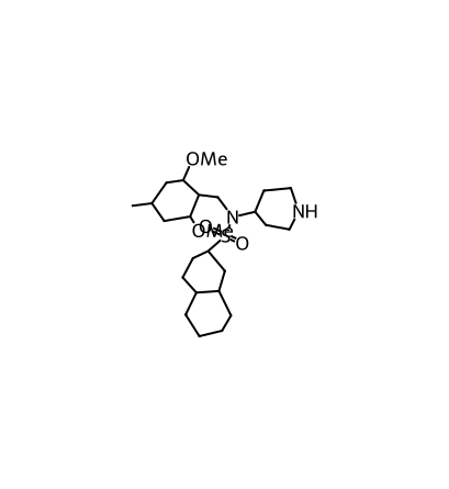 COC1CC(C)CC(OC)C1CN(C1CCNCC1)S(=O)(=O)C1CCC2CCCCC2C1